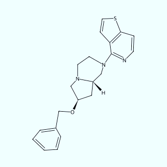 c1ccc(CO[C@@H]2C[C@H]3CN(c4nccc5sccc45)CCN3C2)cc1